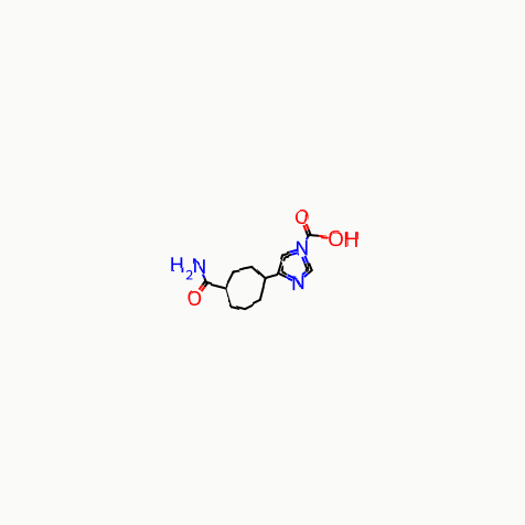 NC(=O)C1CCCC(c2cn(C(=O)O)cn2)CC1